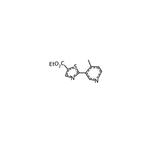 CCOC(=O)c1cnc(-c2cnccc2C)s1